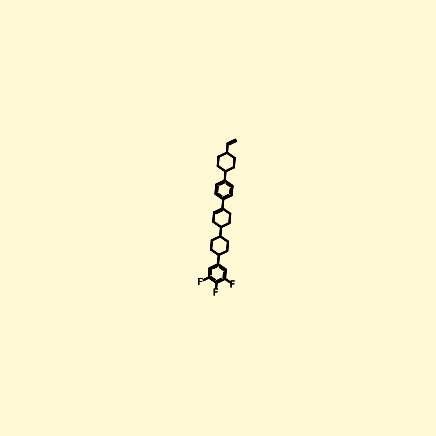 C=CC1CCC(c2ccc(C3=CCC(C4CCC(c5cc(F)c(F)c(F)c5)CC4)CC3)cc2)CC1